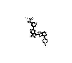 CN1CCN(c2cncc3[nH]c(-c4n[nH]c5cnc(-c6cncc(NC(=O)C(C)(C)C)c6)cc45)nc23)CC1